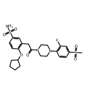 CS(=O)(=O)c1ccc(N2CCN(C(=O)Cc3cc(S(N)(=O)=O)ccc3OC3CCCC3)CC2)c(F)c1